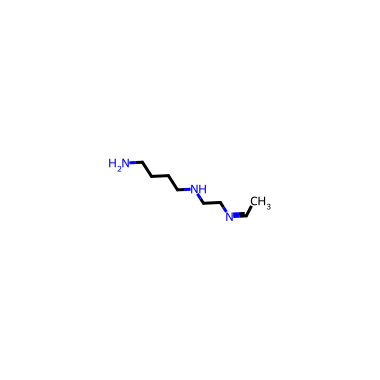 C/C=N\CCNCCCCN